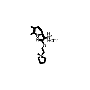 Cc1ccc2c(N)c(OCC[N+]3(C)CCCC3)nn2c1C.Cl.[Cl-]